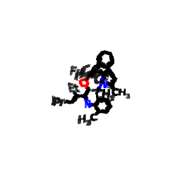 CCC(CC(C)C)/C(=N/c1c(C)cccc1C)[C@@H](Cn1c(C)ccc1C)OC(c1ccccc1)(C(F)(F)F)C(F)(F)F